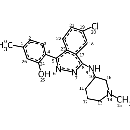 Cc1ccc(-c2nnc(NC3CCCN(C)C3)c3cc(Cl)ccc23)c(O)c1